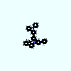 CC1(C)c2ccccc2C2C=CC=C(n3c4ccc(-c5ccccc5)cc4c4cc(-c5ccc6c(c5)c5ccccc5n6C5=CC=CCC5)ccc43)C21